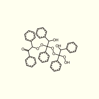 O=C(c1ccccc1)C(OOC(OOC(OO)(c1ccccc1)C(O)c1ccccc1)(c1ccccc1)C(O)c1ccccc1)c1ccccc1